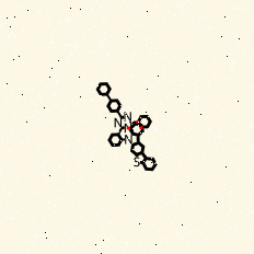 c1ccc(-c2ccc(-c3nc(-c4ccccc4)nc(-c4ccccc4-n4c5ccccc5c5cc6c(cc54)sc4ccccc46)n3)cc2)cc1